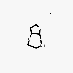 C1CNCC2OCCC2C1